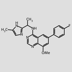 COc1cc(-c2ccc(F)cc2)cc2c(NC(C)c3ncc(C)[nH]3)ncnc12